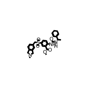 COC(=O)c1cc(S(=O)(=O)Cc2ccc3c(c2)CN(C)C3)ccc1NC(=O)NC(C)C1=CCCC=C1